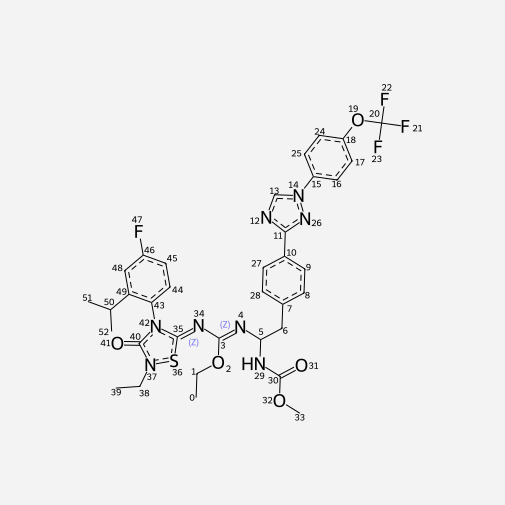 CCOC(=N\C(Cc1ccc(-c2ncn(-c3ccc(OC(F)(F)F)cc3)n2)cc1)NC(=O)OC)/N=c1\sn(CC)c(=O)n1-c1ccc(F)cc1C(C)C